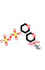 C1CCOCC1.C1CCOCC1.O=S(=O)([O-])OOS(=O)(=O)[O-].OO.[Na+].[Na+]